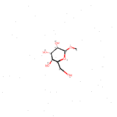 CO[C@H]1OC(CO)[C@@H](O)[C@H](O)[C@@H]1O